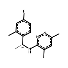 Cc1cc(C)c(N[C@H](C)c2ccc(F)cc2C)nn1